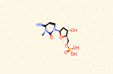 Cn1c(=N)ccn([C@H]2C[C@H](O)[C@@H](COP(=O)(O)O)O2)c1=O